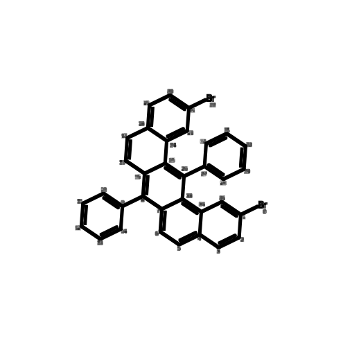 Brc1ccc2ccc3c(-c4ccccc4)c4ccc5ccc(Br)cc5c4c(-c4ccccc4)c3c2c1